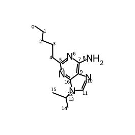 CCCCCc1nc(N)c2ncn(C(C)C)c2n1